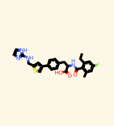 CCc1cc(F)cc(C)c1C(=O)NC(Cc1ccc(-c2csc(CNc3ncc[nH]3)c2)cc1)C(=O)O